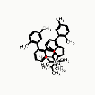 Cc1ccc(C)c(-c2cccc3c2C=C[CH]3[Hf]([CH3])([CH3])(=[SiH2])([CH](C)C)([CH](C)C)[CH]2C=Cc3c(-c4cc(C)ccc4C)cccc32)c1